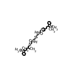 C=CC(/C=C/c1c(C)n(C)c2ccccc12)=C\C=N\CC(=O)NCCSSCCNC(=O)C[n+]1ccc(/C=C/c2c(C)n(C)c3ccccc23)cc1